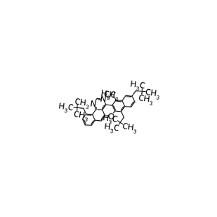 Cc1c2c(c(CC(C)(C)C)c3ccc(CC(C)(C)C)cc13)Oc1cc3cccc(CC(C)(C)C)c3c3nc[n+](C)c-2c13